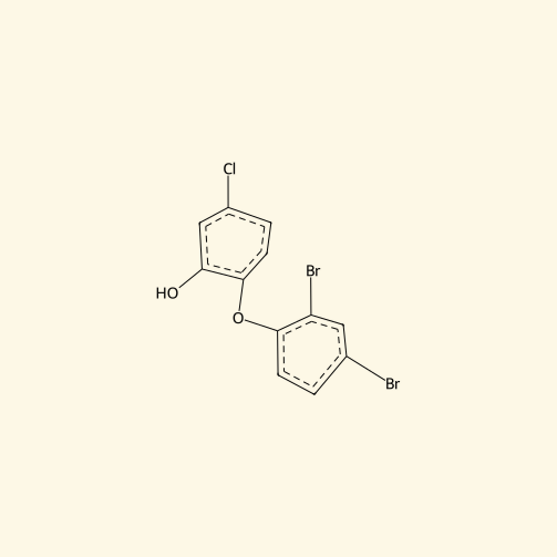 Oc1cc(Cl)ccc1Oc1ccc(Br)cc1Br